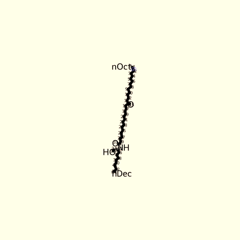 CCCCCCCC/C=C\CCCCCCCCCCCC(=O)CCCCCCCCCCCCCCC(=O)N[C@@H](CO)CCCCCCCCCCCCCCCCCC